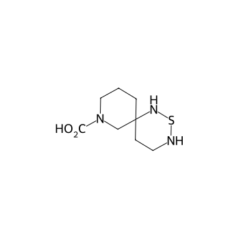 O=C(O)N1CCCC2(CCNSN2)C1